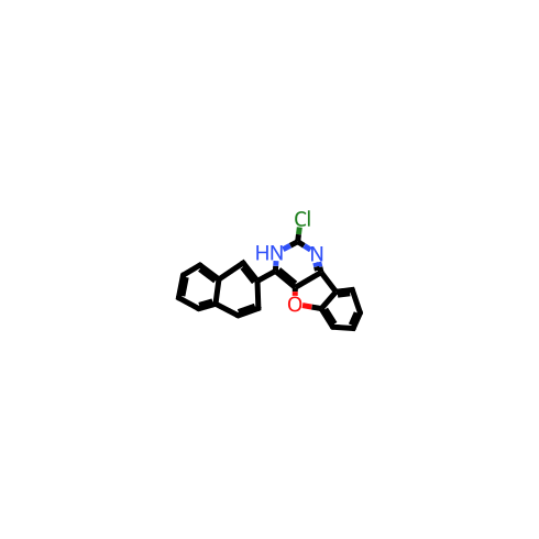 ClC1N=c2c(oc3ccccc23)=C(c2ccc3ccccc3c2)N1